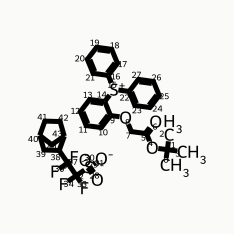 CC(C)(C)OC(=O)COc1ccccc1[S+](c1ccccc1)c1ccccc1.O=S(=O)([O-])C(F)(F)C(F)(F)C1CC2CCC1C2